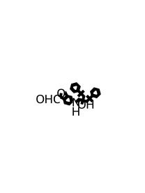 CC(C)(CC(O)(CNc1ccc2c(c1)COC2C=O)CC(C)(C)c1ccccc1)c1ccccc1